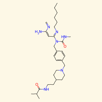 C=N/C(N)=C\C(=N/CCCCCC)N(Cc1ccc(CN2CCC(CCNC(=O)C(C)C)CC2)cc1)C(=O)NC